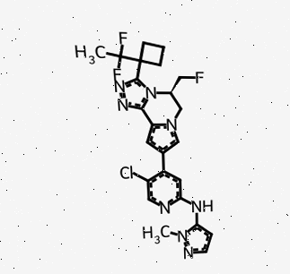 Cn1nccc1Nc1cc(-c2cc3n(c2)C[C@H](CF)n2c-3nnc2C2(C(C)(F)F)CCC2)c(Cl)cn1